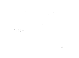 CCOC(=O)C(NC(C)=O)C(=O)CSC(C)=O